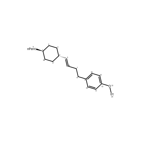 CCCCC[C@H]1CC[C@H](/C=C/CCc2ccc(OCC)cc2)CC1